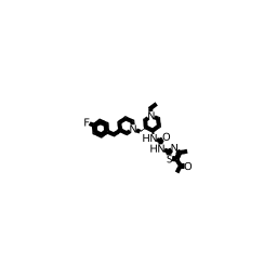 CCN1CC[C@@H](NC(=O)Nc2nc(C)c(C(C)=O)s2)[C@H](CN2CCCC(Cc3ccc(F)cc3)C2)C1